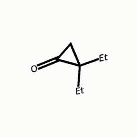 CCC1(CC)CC1=O